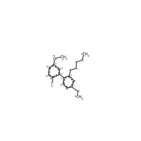 CCCCCc1cc(CC)ccc1-c1cc(OC)ccc1F